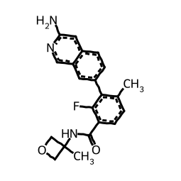 Cc1ccc(C(=O)NC2(C)COC2)c(F)c1-c1ccc2cc(N)ncc2c1